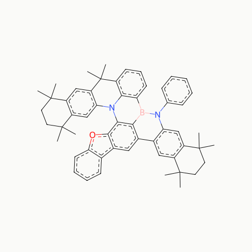 CC1(C)CCC(C)(C)c2cc3c(cc21)-c1cc2c(oc4ccccc42)c2c1B(c1cccc4c1N2c1cc2c(cc1C4(C)C)C(C)(C)CCC2(C)C)N3c1ccccc1